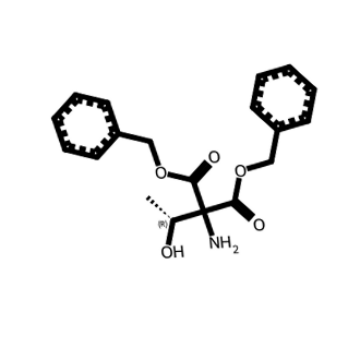 C[C@@H](O)C(N)(C(=O)OCc1ccccc1)C(=O)OCc1ccccc1